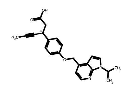 CC#C[C@@H](CC(=O)O)c1ccc(OCc2ccnc3c2ccn3C(C)C)cc1